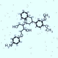 COc1ccc(C(CNC(CO)C(O)COc2ccc(N)cc2)Cc2ccccc2)cc1OC